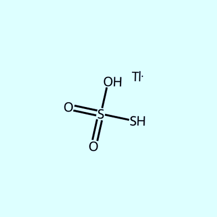 O=S(=O)(O)S.[Tl]